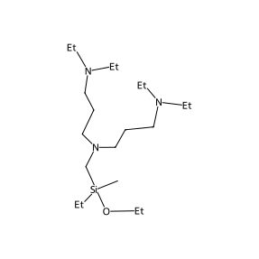 CCO[Si](C)(CC)CN(CCCN(CC)CC)CCCN(CC)CC